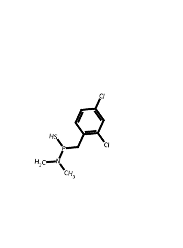 CN(C)P(S)Cc1ccc(Cl)cc1Cl